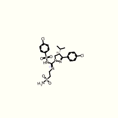 CC(C)[C@H]1CN(/C(=N/CCS(N)(=O)=O)NS(=O)(=O)c2ccc(Cl)cc2)N=C1c1ccc(Cl)cc1